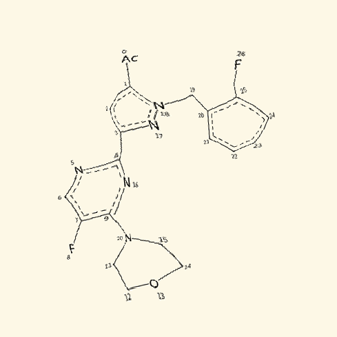 CC(=O)c1cc(-c2ncc(F)c(N3CCOCC3)n2)nn1Cc1ccccc1F